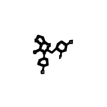 O=c1c2sccc2nc(Cc2ccc(Cl)cc2F)n1-c1ccc(Cl)cc1